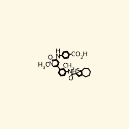 Cc1c(NC(=O)c2cc3c(s2)CCCCC3)cccc1-c1cc(Nc2ccc(C(=O)O)cc2)c(=O)n(C)c1